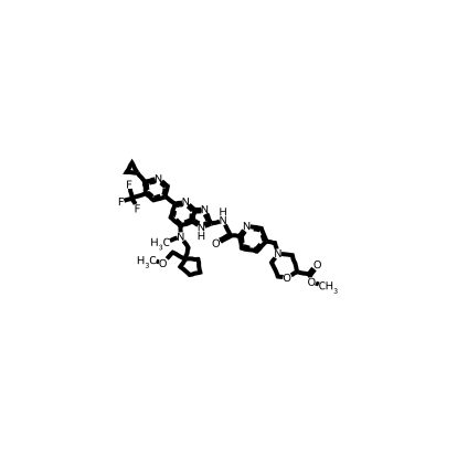 COCC1(CN(C)c2cc(-c3cnc(C4CC4)c(C(F)(F)F)c3)nc3nc(NC(=O)c4ccc(CN5CCOC(C(=O)OC)C5)cn4)[nH]c23)CCCC1